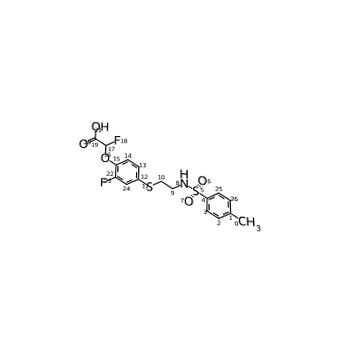 Cc1ccc(S(=O)(=O)NCCSc2ccc(OC(F)C(=O)O)c(F)c2)cc1